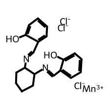 Oc1ccccc1C=NC1CCCCC1N=Cc1ccccc1O.[Cl-].[Cl-].[Cl-].[Mn+3]